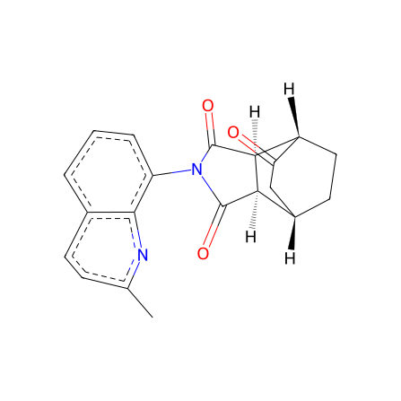 Cc1ccc2cccc(N3C(=O)[C@@H]4[C@H]5CC[C@H](C(=O)C5)[C@@H]4C3=O)c2n1